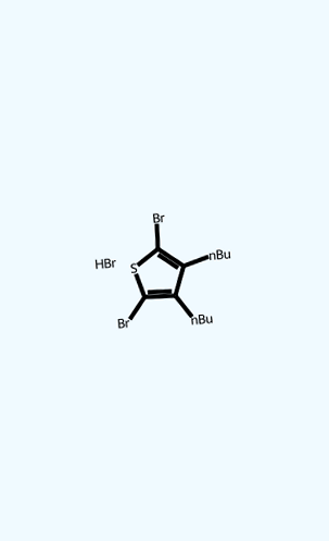 Br.CCCCc1c(Br)sc(Br)c1CCCC